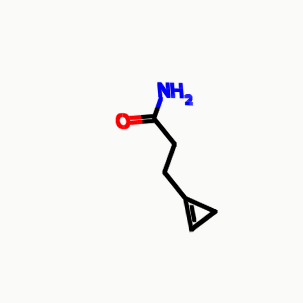 NC(=O)CCC1=CC1